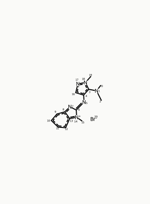 CN(C)c1c(/N=C2\N=c3ccccc3=[N+]2C)cnn1C.[Br-]